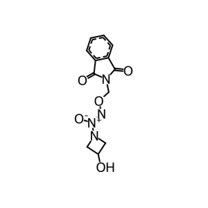 O=C1c2ccccc2C(=O)N1CON=[N+]([O-])N1CC(O)C1